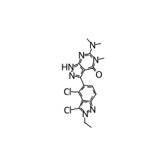 CCn1nc2ccc(-c3n[nH]c4nc(N(C)C)n(C)c(=O)c34)c(Cl)c2c1Cl